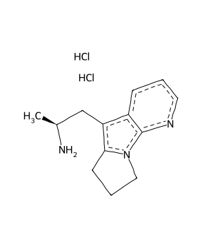 C[C@H](N)Cc1c2n(c3ncccc13)CCC2.Cl.Cl